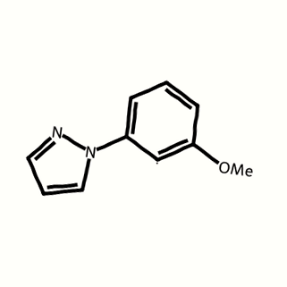 COc1[c]c(-n2cccn2)ccc1